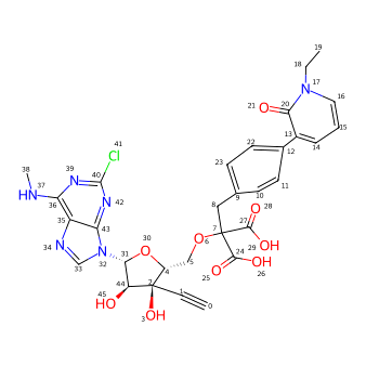 C#C[C@@]1(O)[C@@H](COC(Cc2ccc(-c3cccn(CC)c3=O)cc2)(C(=O)O)C(=O)O)O[C@@H](n2cnc3c(NC)nc(Cl)nc32)[C@@H]1O